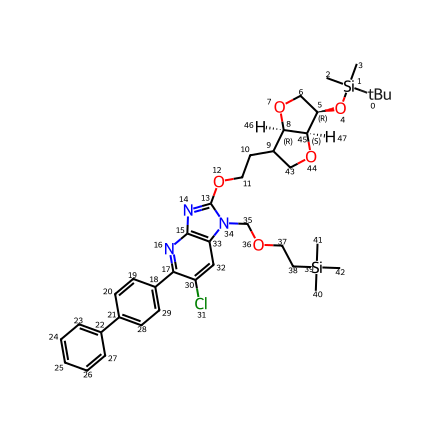 CC(C)(C)[Si](C)(C)O[C@@H]1CO[C@@H]2C(CCOc3nc4nc(-c5ccc(-c6ccccc6)cc5)c(Cl)cc4n3COCC[Si](C)(C)C)CO[C@@H]21